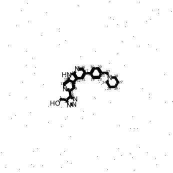 OCC1N=NN=C1c1cc2c(cn1)[nH]c1ncc(-c3ccc(CN4CCCCC4)cc3)cc12